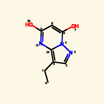 CCc1cnn2c(O)cc(O)nc12